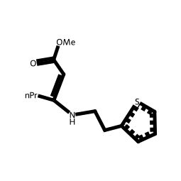 CCCC(=CC(=O)OC)NCCc1cccs1